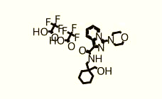 O=C(NCC1(CO)CCCCC1)c1nc(N2CCOCC2)n2ccccc12.O=C(O)C(F)(F)F.O=C(O)C(F)(F)F